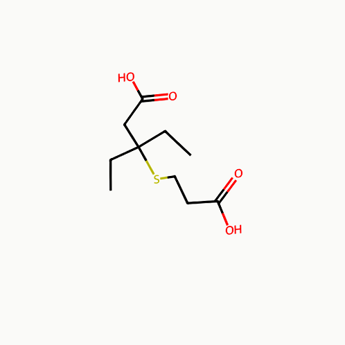 CCC(CC)(CC(=O)O)SCCC(=O)O